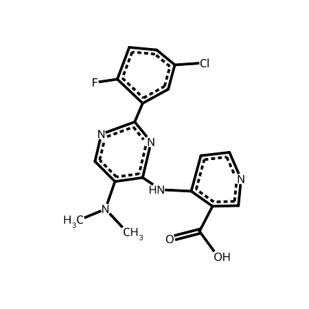 CN(C)c1cnc(-c2cc(Cl)ccc2F)nc1Nc1ccncc1C(=O)O